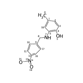 Cc1ccc(O)c(NCc2ccc([N+](=O)[O-])cc2)c1